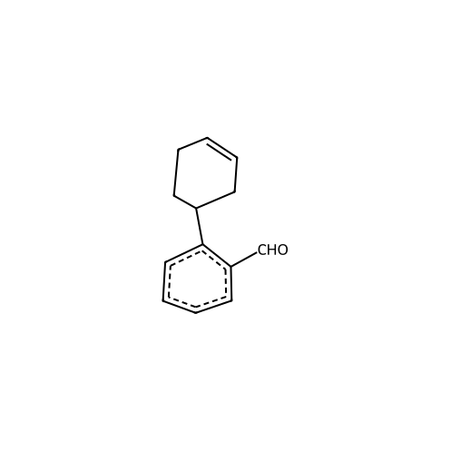 O=Cc1ccccc1C1CC=CCC1